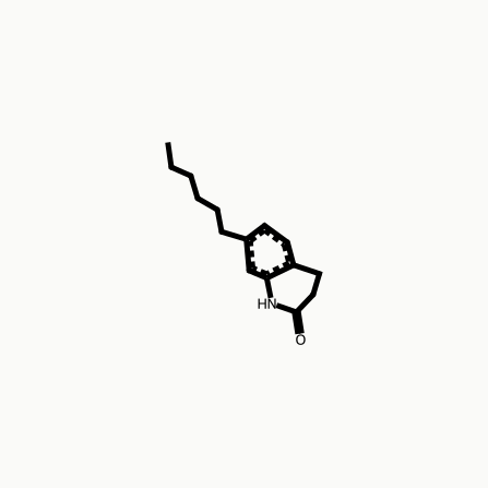 CCCCCCc1ccc2c(c1)NC(=O)CC2